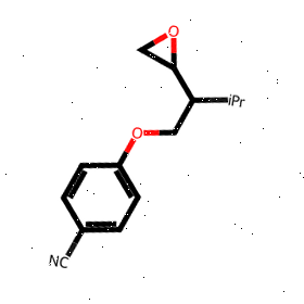 CC(C)C(COc1ccc(C#N)cc1)C1CO1